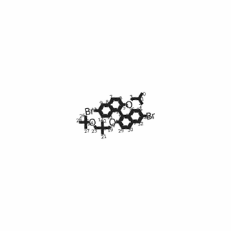 CC(C)COc1ccc2cc(Br)ccc2c1-c1c(OCC(C)(C)COC(C)(C)C)ccc2cc(Br)ccc12